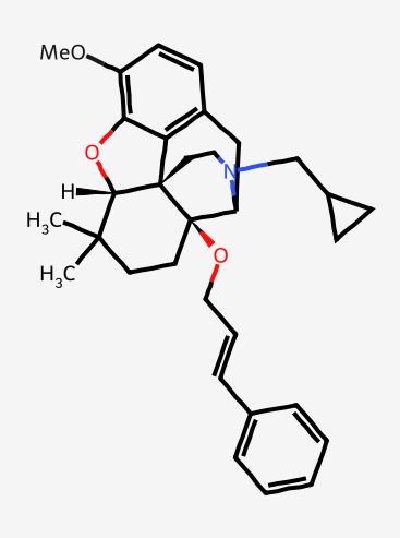 COc1ccc2c3c1O[C@H]1C(C)(C)CC[C@@]4(OC/C=C/c5ccccc5)C(C2)N(CC2CC2)CC[C@]314